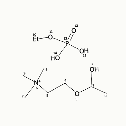 CC(O)OCC[N+](C)(C)C.CCOP(=O)(O)O